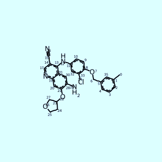 Cc1cccc(COc2ccc(Nc3c(C#N)cnc4cc(OC5CCOC5)c(N)cc34)cc2Cl)c1